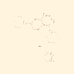 C[C@H](c1nncs1)C1CCCN(c2ncnc3cc(N4CCOCC4)ccc23)C1